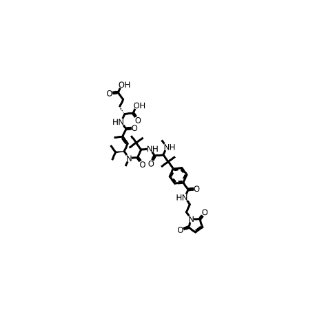 CNC(C(=O)NC(C(=O)N(C)[C@H](/C=C(\C)C(=O)N[C@H](CCC(=O)O)C(=O)O)C(C)C)C(C)(C)C)C(C)(C)c1ccc(C(=O)NCCN2C(=O)C=CC2=O)cc1